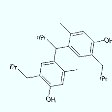 CCCC(c1cc(CC(C)C)c(O)cc1C)c1cc(CC(C)C)c(O)cc1C